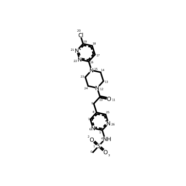 CS(=O)(=O)Nc1ncc(CC(=O)N2CCN(c3ccc(Cl)nn3)CC2)cn1